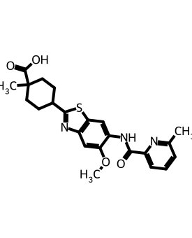 COc1cc2nc(C3CCC(C)(C(=O)O)CC3)sc2cc1NC(=O)c1cccc(C)n1